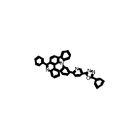 c1ccc(-c2nnc(-c3ccc(-c4cccc(-n5c6ccccc6c6ccc7c(-c8ccccc8)nc8ccccc8c7c65)c4)nc3)o2)cc1